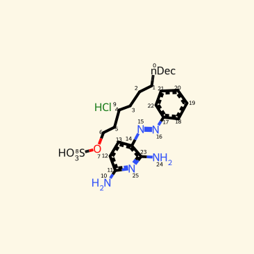 CCCCCCCCCCCCCCCCOS(=O)(=O)O.Cl.Nc1ccc(/N=N/c2ccccc2)c(N)n1